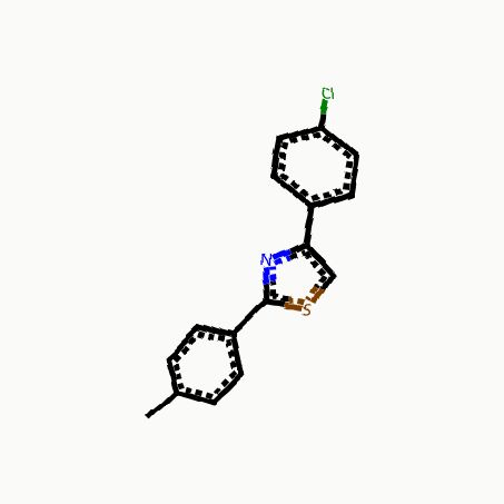 Cc1ccc(-c2nc(-c3ccc(Cl)cc3)cs2)cc1